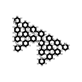 c1ccc(-c2ccc(-c3ccccc3-c3cc(-c4ccccc4-c4ccc(-c5ccccn5)cc4)cc(-c4ccccc4-c4ccc(-c5cccc(-c6ccc(-c7ccccc7-c7cc(-c8ccccc8-c8ccc(-c9ccccn9)cc8)cc(-c8ccccc8-c8ccc(-c9ccccn9)cc8)c7)cn6)c5)nc4)c3)cc2)nc1